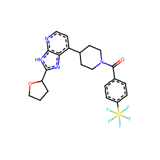 O=C(c1ccc(S(F)(F)(F)(F)F)cc1)N1CCC(c2ccnc3[nH]c(C4CCCO4)nc23)CC1